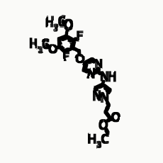 CCOC(=O)CCn1cc(Nc2ncc(OCc3c(F)c(OC)cc(OC)c3F)cn2)cn1